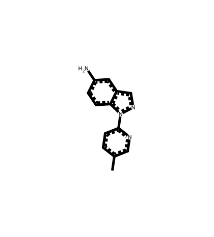 Cc1ccc(-n2ncc3cc(N)ccc32)nc1